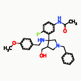 COc1ccc(CNC2(c3cc(NC(C)=O)ccc3F)CN(Cc3ccccc3)CC2CO)cc1